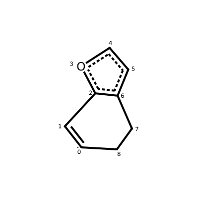 [C]1=Cc2occc2CC1